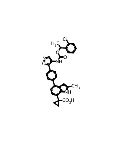 Cc1cc2c(-c3ccc(-c4oncc4NC(=O)OC(C)c4ccccc4Cl)cc3)ccc(C3(C(=O)O)CC3)c2[nH]1